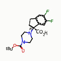 CC(C)(C)OC(=O)N1CCN([C@]2(C(=O)O)CCc3cc(F)c(F)cc32)CC1